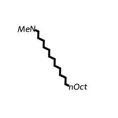 CCCCCCCCCCCCCCCCCCCCNC